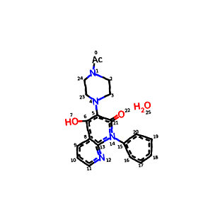 CC(=O)N1CCN(c2c(O)c3cccnc3n(-c3ccccc3)c2=O)CC1.O